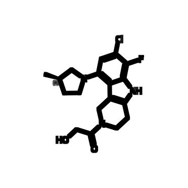 C[C@@H]1CCN(c2cc(Cl)c(F)c3[nH]c4c(c23)CN(C(=O)CO)CC4)C1